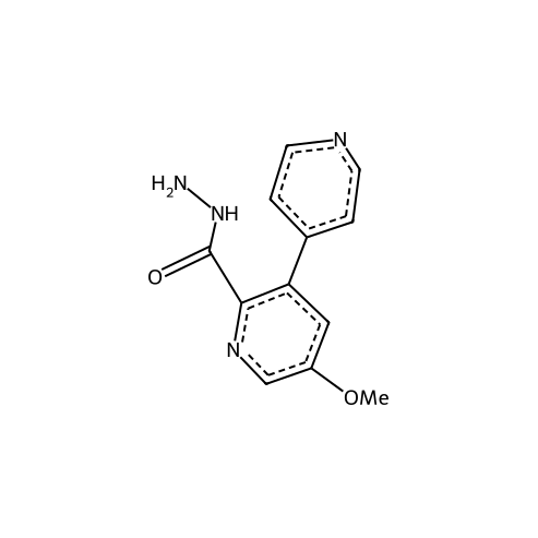 COc1cnc(C(=O)NN)c(-c2ccncc2)c1